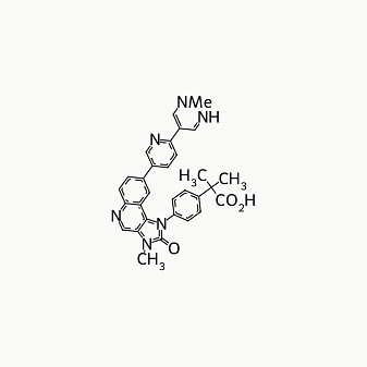 CN/C=C(\C=N)c1ccc(-c2ccc3ncc4c(c3c2)n(-c2ccc(C(C)(C)C(=O)O)cc2)c(=O)n4C)cn1